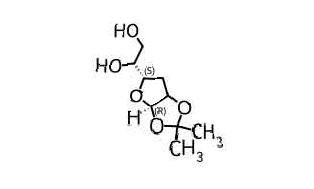 CC1(C)OC2C[C@@H](C(O)CO)O[C@@H]2O1